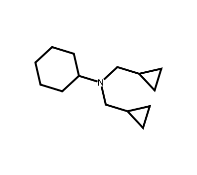 C1CCC(N(CC2CC2)CC2CC2)CC1